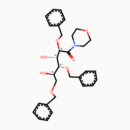 O=C([C@H](OCc1ccccc1)[C@@H](O)[C@H](OCc1ccccc1)[C@H](O)COCc1ccccc1)N1CCOCC1